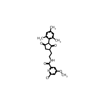 COc1cc(Cl)nc(C(=O)NCCC2CC(=O)C(c3c(C)cc(C)cc3C)C2=O)c1